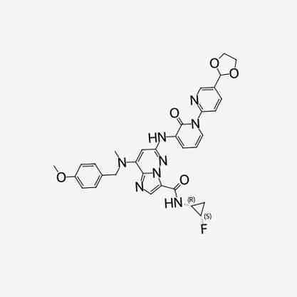 COc1ccc(CN(C)c2cc(Nc3cccn(-c4ccc(C5OCCO5)cn4)c3=O)nn3c(C(=O)N[C@@H]4C[C@@H]4F)cnc23)cc1